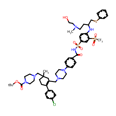 CN(CCO)CCC(CSc1ccccc1)Nc1ccc(S(=O)(=O)NC(=O)c2ccc(N3CCN(CC4=C(c5ccc(Cl)cc5)CCC(C)(CN5CCN(C(=O)OC(C)(C)C)CC5)C4)CC3)cc2)cc1S(=O)(=O)C(F)(F)F